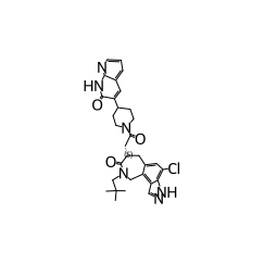 CC(C)(C)CN1Cc2c(cc(Cl)c3[nH]ncc23)C[C@@H](CC(=O)N2CCC(c3cc4cccnc4[nH]c3=O)CC2)C1=O